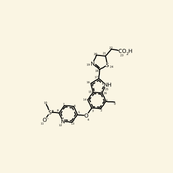 Cc1cc(Oc2ccc([S+](C)[O-])nc2)cc2cc(C3=NCC(CC(=O)O)S3)[nH]c12